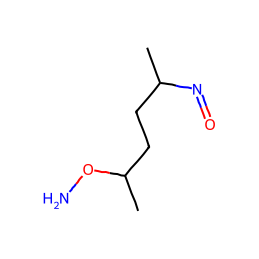 CC(CCC(C)ON)N=O